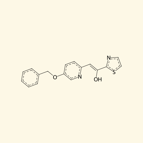 OC(=Cc1ccc(OCc2ccccc2)cn1)c1nccs1